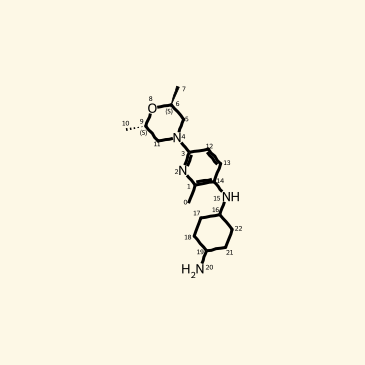 Cc1nc(N2C[C@H](C)O[C@@H](C)C2)ccc1NC1CCC(N)CC1